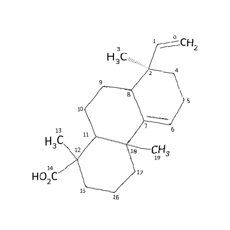 C=C[C@@]1(C)CCC=C2C1CCC1C(C)(C(=O)O)CCCC21C